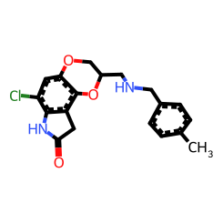 Cc1ccc(CNCC2COc3cc(Cl)c4c(c3O2)CC(=O)N4)cc1